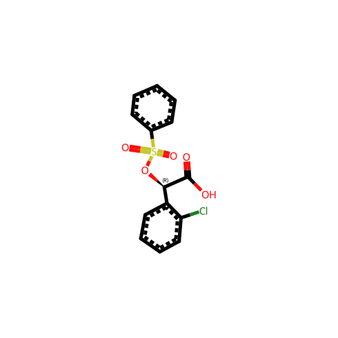 O=C(O)[C@H](OS(=O)(=O)c1ccccc1)c1ccccc1Cl